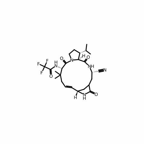 CC(C)[C@H]1CCN2C(=O)[C@@H](NC(=O)C(F)(F)F)C(C)(C)C/C=C/[C@@H]3CC(C[C@@H](C#N)NC(=O)[C@H]12)C(=O)N3